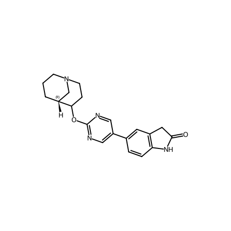 O=C1Cc2cc(-c3cnc(OC4CCN5CCC[C@@H]4C5)nc3)ccc2N1